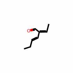 CC=C(C=O)C=CCC